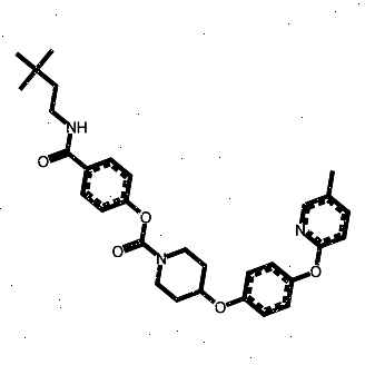 Cc1ccc(Oc2ccc(OC3CCN(C(=O)Oc4ccc(C(=O)NCCC(C)(C)C)cc4)CC3)cc2)nc1